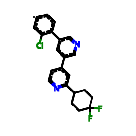 FC1(F)CCC(c2cc(-c3cncc(-c4cc[c]cc4Cl)c3)ccn2)CC1